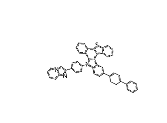 C1=C(c2ccccc2)CCC(c2ccc3c(c2)c2c4c5ccccc5sc4c4ccccc4c2n3-c2ccc(-c3cn4ccccc4n3)cc2)=C1